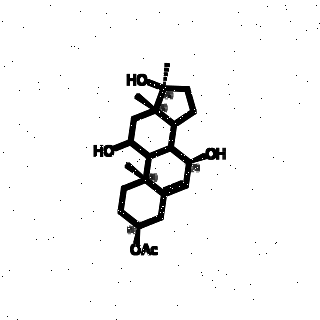 CC(=O)O[C@H]1CC[C@@]2(C)C(=C[C@H](O)C3C2C(O)C[C@@]2(C)C3CC[C@]2(C)O)C1